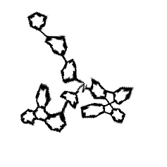 c1ccc(-c2ccc(-c3ccc(N(c4ccc(-c5cccc6c7ccccc7c7ccccc7c56)cc4)c4ccc5c(c4)C4(c6ccccc6-c6ccccc64)c4ccccc4-5)cc3)cc2)cc1